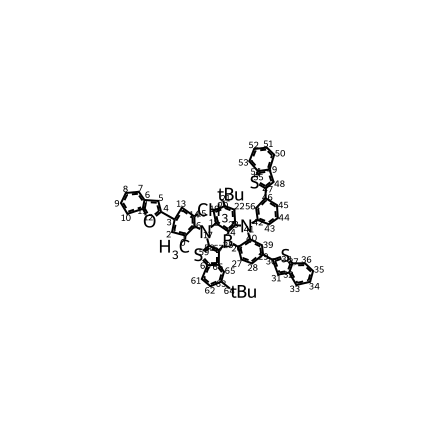 Cc1cc(-c2cc3ccccc3o2)cc(C)c1N1c2cc(C(C)(C)C)cc3c2B(c2ccc(-c4cc5ccccc5s4)cc2N3c2cccc(-c3cc4ccccc4s3)c2)c2c1sc1ccc(C(C)(C)C)cc21